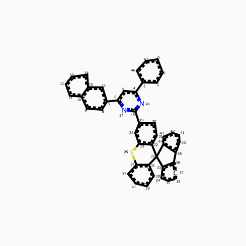 c1ccc(-c2cc(-c3ccc4ccccc4c3)nc(-c3ccc4c(c3)Sc3ccccc3C43c4ccccc4-c4ccccc43)n2)cc1